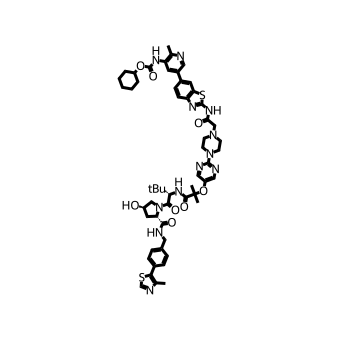 Cc1ncc(-c2ccc3nc(NC(=O)CN4CCN(c5ncc(OC(C)(C)C(=O)N[C@H](C(=O)N6C[C@H](O)C[C@H]6C(=O)NCc6ccc(-c7scnc7C)cc6)C(C)(C)C)cn5)CC4)sc3c2)cc1NC(=O)OC1CCCCC1